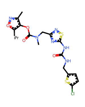 Cc1noc(C(C)C)c1OC(=O)N(C)Cc1nsc(NC(=O)NCc2ccc(Cl)s2)n1